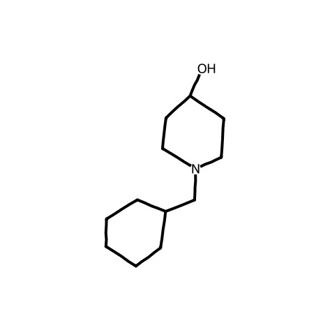 OC1CCN(CC2CCCCC2)CC1